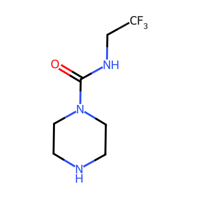 O=C(NCC(F)(F)F)N1CCNCC1